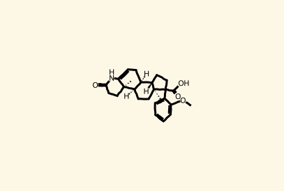 COc1ccccc1C1(C(=O)O)CC[C@H]2[C@@H]3CC=C4NC(=O)CC[C@]4(C)[C@@H]3CC[C@@]21C